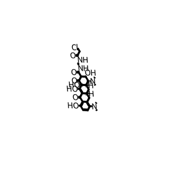 CN(C)c1ccc(O)c2c1C[C@H]1C[C@H]3[C@H](N(C)C)C(O)C(C(=O)NCNC(=O)CCl)C(=O)[C@@]3(O)C(O)=C1C2=O